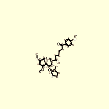 COc1ccc(C(=O)CCCCC(=O)N(N)[C@H](CN2CCCC2)[C@H](O)c2ccc(OC)cc2OC)cc1